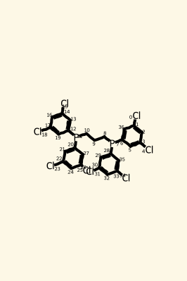 Clc1cc(Cl)cc(P(CCCP(c2cc(Cl)cc(Cl)c2)c2cc(Cl)cc(Cl)c2)c2cc(Cl)cc(Cl)c2)c1